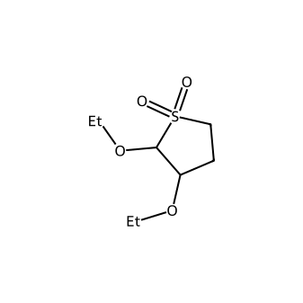 CCOC1CCS(=O)(=O)C1OCC